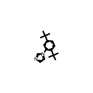 CC(C)(C)c1ccc(C(C)(C)C)c(-n2ccnc2)c1